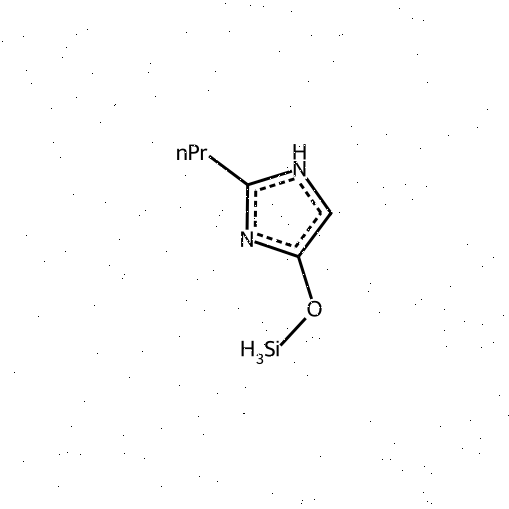 CCCc1nc(O[SiH3])c[nH]1